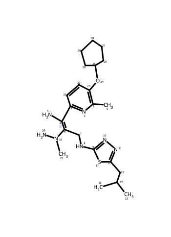 Cc1nc(/C(N)=C(\CNc2nnc(CC(C)C)s2)N(C)N)ccc1OC1CCCCC1